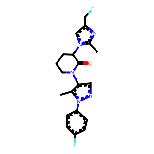 Cc1nc(CF)cn1C1CCCN(c2cnn(-c3ccc(F)cc3)c2C)C1=O